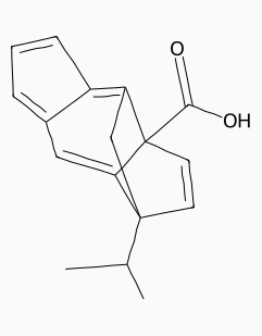 CC(C)C12C=CC3(C(=O)O)C1=CC1=CC=CC1=C3C2